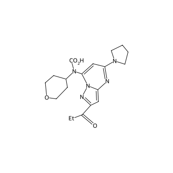 CCC(=O)c1cc2nc(N3CCCC3)cc(N(C(=O)O)C3CCOCC3)n2n1